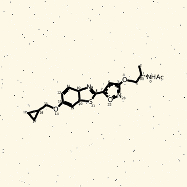 CC(=O)N[C@@H](C)COc1cc(C2=NC3C=CC(OCC4CC4)=CC3S2)on1